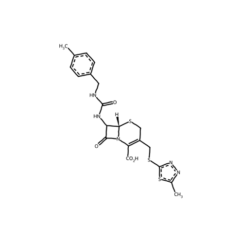 Cc1ccc(CNC(=O)NC2C(=O)N3C(C(=O)O)=C(CSc4nnc(C)s4)CS[C@@H]23)cc1